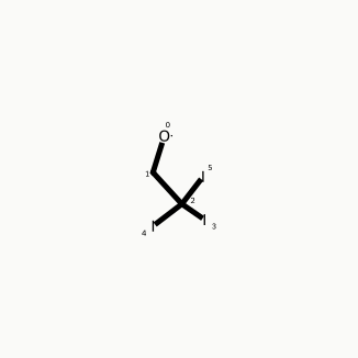 [O]CC(I)(I)I